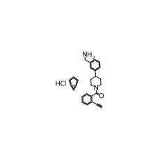 C#Cc1ccccc1C(=O)N1CCC(c2cccc(CN)c2)CC1.Cl.c1cc2cc-2c1